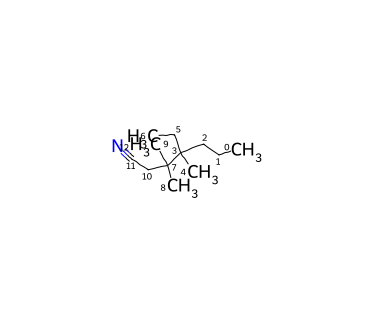 CCCC(C)(CC)C(C)(C)CC#N